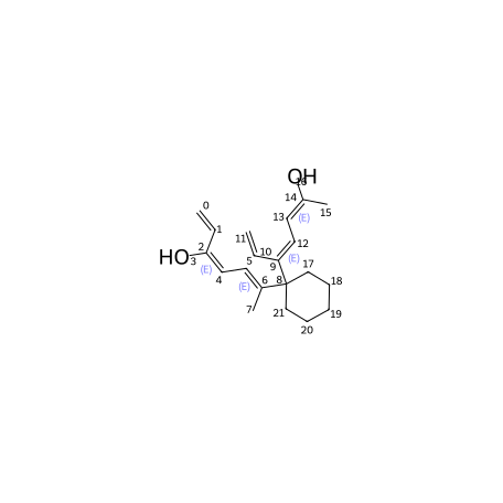 C=C/C(O)=C\C=C(/C)C1(/C(C=C)=C/C=C(\C)O)CCCCC1